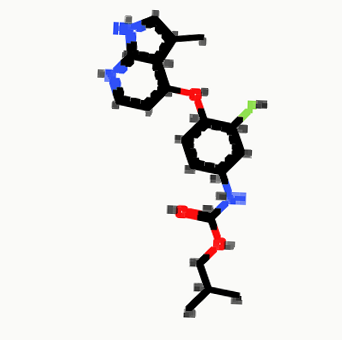 Cc1c[nH]c2nccc(Oc3ccc(NC(=O)OCC(C)C)cc3F)c12